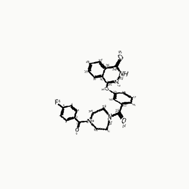 O=C(c1ccc(F)cc1)N1CCN(C(=O)c2cccc(Oc3n[nH]c(=O)c4ccccc34)c2)CC1